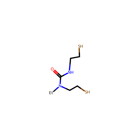 CCN(CCS)C(=O)NCCS